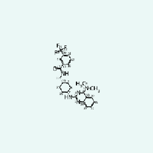 CN(C)c1nc(N[C@H]2CC[C@@H](CNC(=O)c3cccc(C(F)(F)F)c3)CC2)nc2ccccc12